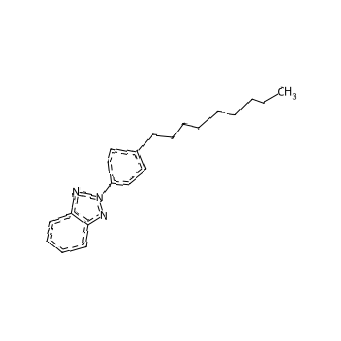 CCCCCCCCCc1ccc(-n2nc3ccccc3n2)cc1